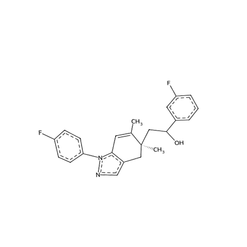 CC1=Cc2c(cnn2-c2ccc(F)cc2)C[C@]1(C)CC(O)c1cccc(F)c1